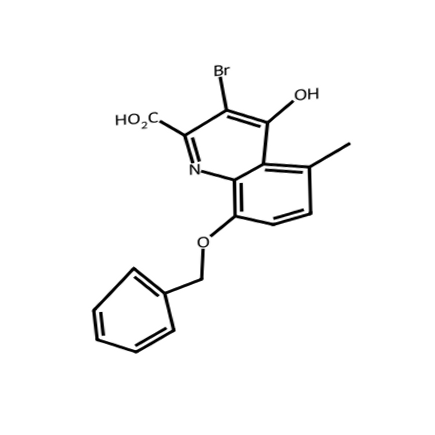 Cc1ccc(OCc2ccccc2)c2nc(C(=O)O)c(Br)c(O)c12